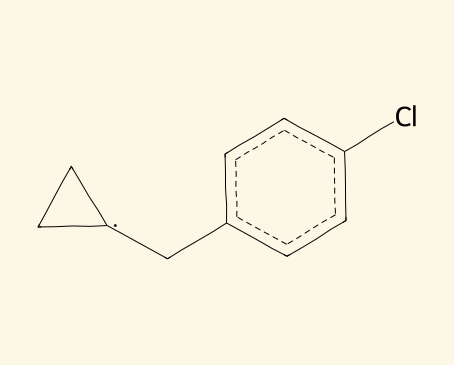 Clc1ccc(C[C]2CC2)cc1